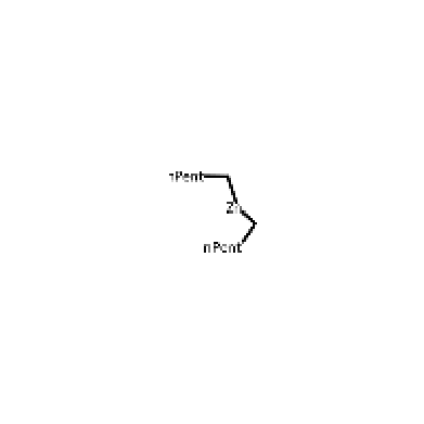 CCCCC[CH2][Zn][CH2]CCCCC